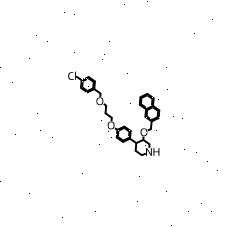 Clc1ccc(COCCCOc2ccc(C3CCNCC3OCc3ccc4ccccc4c3)cc2)cc1